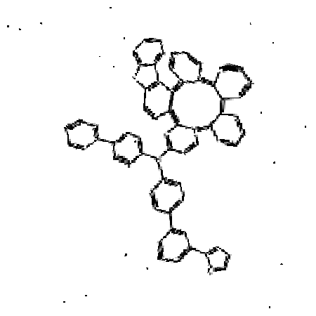 c1ccc(-c2ccc(N(c3ccc(-c4cccc(-c5ccco5)c4)cc3)c3ccc4c5ccccc5c5ccccc5c5ccccc5c5c(ccc6sc7ccccc7c65)c4c3)cc2)cc1